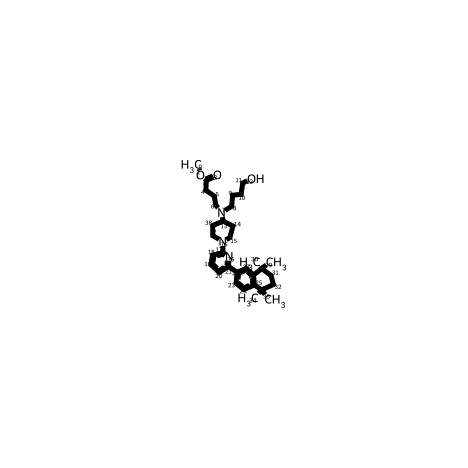 COC(=O)CCCN(CCCCO)C1CCN(c2cccc(-c3ccc4c(c3)C(C)(C)CCC4(C)C)n2)CC1